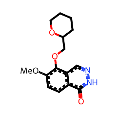 COc1ccc2c(=O)[nH]ncc2c1OCC1CCCCO1